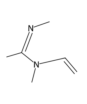 C=CN(C)/C(C)=N\C